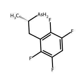 C[C@H]([AsH2])Cc1c(F)c(F)cc(F)c1F